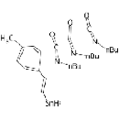 CCCCN=C=O.CCCCN=C=O.CCCCN=C=O.Cc1ccc(/C=[CH]/[SnH])cc1